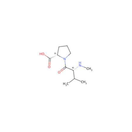 CN[C@@H](C(=O)N1CCC[C@H]1C(=O)O)C(C)C